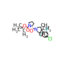 C[C@@H]1CN(C(=O)[C@H]2CCCN2C(=O)OC(C)(C)C)C[C@H](C)C1(C)c1c(F)cc(Cl)cc1F